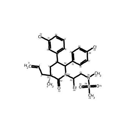 C=CC[C@@]1(C)CC(c2cccc(Cl)c2)C(c2ccc(Cl)cc2)N(C(CC)CN(C)S(C)(=O)=O)C1=O